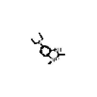 C=Nc1ccc(N(CC)CC)cc1NC(C)=O